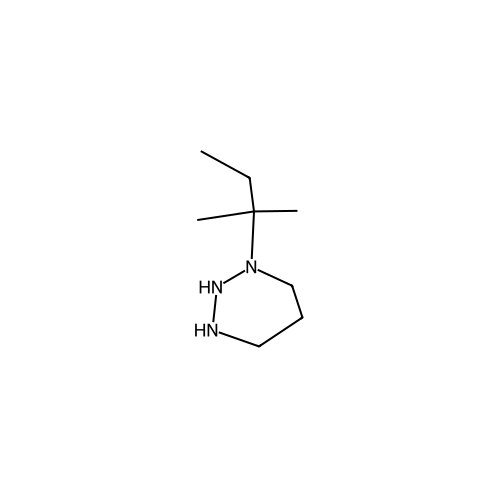 CCC(C)(C)N1CCCNN1